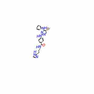 O=C(NCCCc1ncc[nH]1)c1ccc(Nc2ncc(Br)c(Nc3ccccc3)n2)cc1